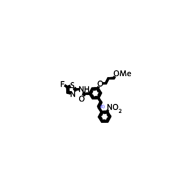 COCCCOc1cc(/C=C/c2ccccc2[N+](=O)[O-])cc(C(=O)Nc2ncc(F)s2)c1